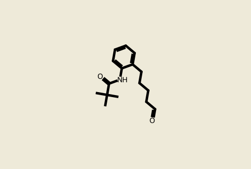 CC(C)(C)C(=O)Nc1ccccc1CCCCC=O